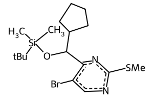 CSc1ncc(Br)c(C(O[Si](C)(C)C(C)(C)C)C2CCCC2)n1